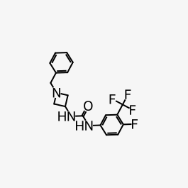 O=C(Nc1ccc(F)c(C(F)(F)F)c1)NC1CN(Cc2ccccc2)C1